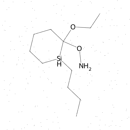 CCCC[SiH]1CCCCC1(ON)OCC